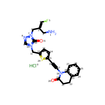 Cl.NC/C(=C\F)Cn1ncn(Cc2ccc(C#CN3C(=O)CCc4ccccc43)s2)c1=O